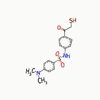 CN(C)c1ccc(S(=O)(=O)Nc2ccc(C(=O)CS)cc2)cc1